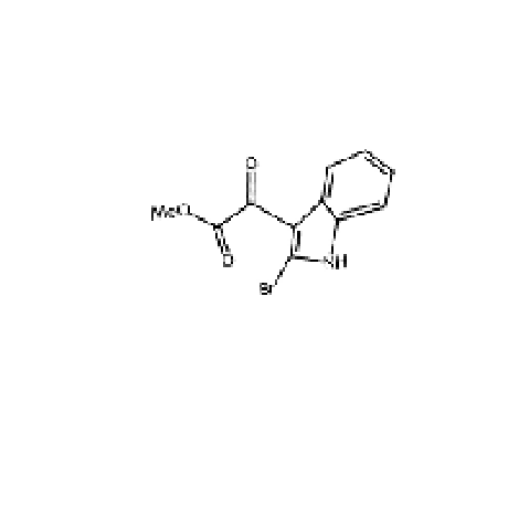 COC(=O)C(=O)c1c(Br)[nH]c2ccccc12